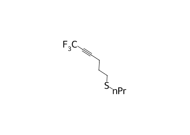 [CH2]CCSCCCC#CC(F)(F)F